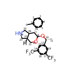 Cc1ccccc1[C@@H]1C(O[C@H](C)c2cc(C(F)(F)F)cc(C(F)(F)F)c2)OC[C@@H]2CNCC21